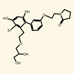 CCc1c(O)cc(O)c(-c2cccc(OCCN3CCCC3=O)c2)c1CCOCC(O)CO